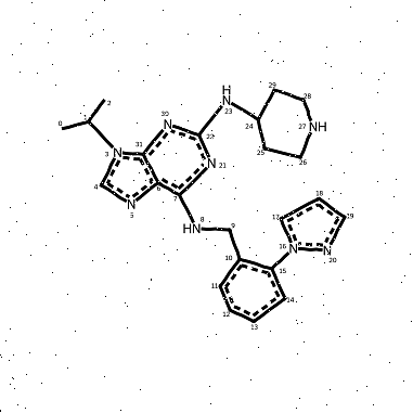 CC(C)n1cnc2c(NCc3ccccc3-n3cccn3)nc(NC3CCNCC3)nc21